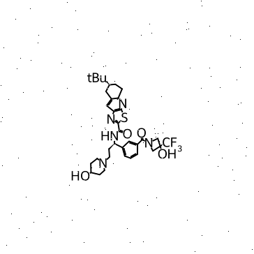 CC(C)(C)[C@H]1CCc2nc3sc(C(=O)N[C@H](CCN4CCC(O)CC4)c4cccc(C(=O)N5CC(O)(C(F)(F)F)C5)c4)nc3cc2C1